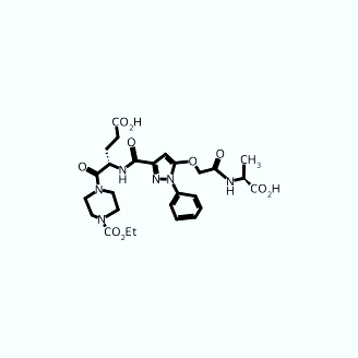 CCOC(=O)N1CCN(C(=O)[C@H](CCC(=O)O)NC(=O)c2cc(OCC(=O)N[C@@H](C)C(=O)O)n(-c3ccccc3)n2)CC1